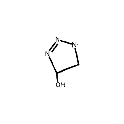 OC1C[N]N=N1